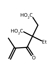 C=C(C)C(=O)C(CC)(CC(=O)O)C(=O)O